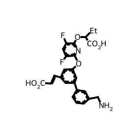 CCC(Oc1nc(Oc2cc(C=CC(=O)O)cc(-c3cccc(CN)c3)c2)c(F)cc1F)C(=O)O